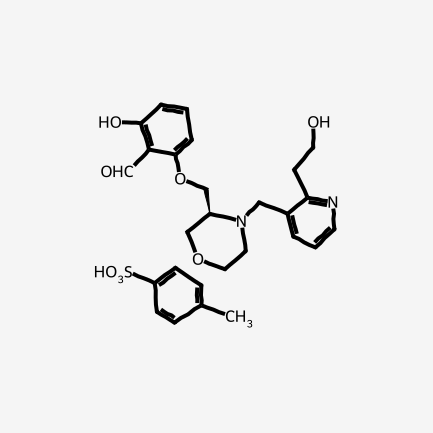 Cc1ccc(S(=O)(=O)O)cc1.O=Cc1c(O)cccc1OC[C@@H]1COCCN1Cc1cccnc1CCO